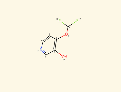 Oc1cnccc1OC(F)F